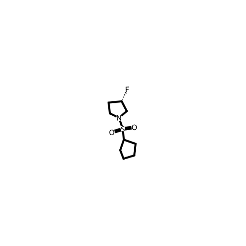 O=S(=O)(C1CCCC1)N1CC[C@H](F)C1